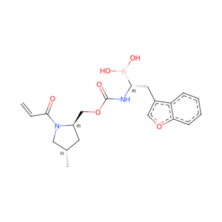 C=CC(=O)N1C[C@@H](C)C[C@@H]1COC(=O)N[C@@H](Cc1coc2ccccc12)B(O)O